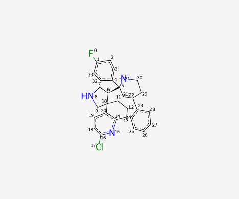 Fc1ccc(C2([C@@H]3CNCC34CCCc3nc(Cl)ccc34)CC(c3ccccc3)CC[N]2)cc1